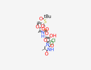 Cc1cn([C@@H]2O[C@H](CO[P@](=O)(N[C@@H](C)C(=O)OC(C)C)OCCSC(=O)C(C)(C)C)[C@@H](O)C2(Cl)Cl)c(=O)[nH]c1=O